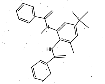 C=C(Nc1c(C)cc(C(C)(C)C)cc1N(C)C(=C)c1ccccc1)C1=CC=CCC1